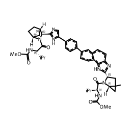 COC(=O)N[C@H](C(=O)N1[C@@H]2CC[C@@H](C2)[C@H]1c1ncc(-c2ccc(-c3ccc4c(ccc5nc([C@@H]6CC7(C)C[C@@H]7N6C(=O)[C@@H](NC(=O)OC)C(C)C)[nH]c54)c3)cc2)[nH]1)C(C)C